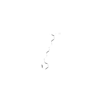 O=C(O)/C=C/CC/C=C/CCc1ccccc1